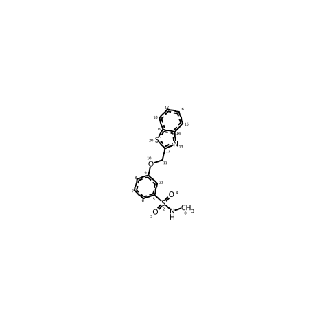 CNS(=O)(=O)c1cccc(OCc2nc3ccccc3s2)c1